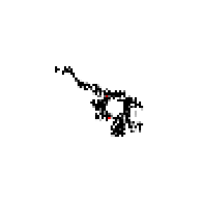 COCCCCCCOc1ccc(C2=NN3CC([C@H]4CC[C@H](CN5[C@@H](O)CNC(=O)[C@@H]6[C@@H](O)[C@@H](C)CN6C(=O)[C@H]([C@H](O)CCNC(CO)CO)NC(=O)[C@H]([C@H](O)Cc6ccc(O)c(OS(=O)(=O)O)c6)NC(=O)[C@@H]6C[C@@H](O)CN6C(=O)C([C@@H](C)O)NC(=O)[C@@H]5C)CC4)N=C3S2)cc1